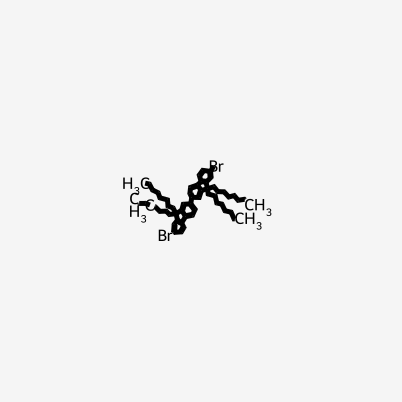 CCCCCCCCC1(CCCCCCCC)c2cc(Br)ccc2-c2ccc(-c3ccc4c(c3)C(CCCCCCCC)(CCCCCCCC)c3cc(Br)ccc3-4)cc21